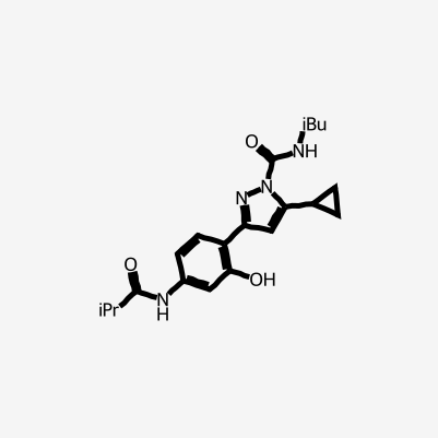 CCC(C)NC(=O)n1nc(-c2ccc(NC(=O)C(C)C)cc2O)cc1C1CC1